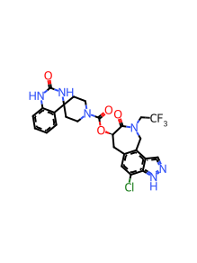 O=C1Nc2ccccc2C2(CCN(C(=O)O[C@@H]3Cc4cc(Cl)c5[nH]ncc5c4CN(CC(F)(F)F)C3=O)CC2)N1